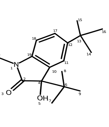 CN1C(=O)C(O)(C(C)(C)C)c2cc(C(C)(C)C)ccc21